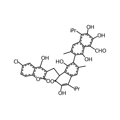 Cc1cc2c(c(O)c1-c1c(C)cc3c(C(C)C)c(O)c(O)c(C=O)c3c1O)C(Cc1c(O)c3cc(Cl)ccc3oc1=O)C(=O)C(O)=C2C(C)C